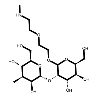 CNCCOCCOC1O[C@@H](CO)[C@@H](O)[C@H](O)[C@@H]1O[C@H]1O[C@H](CO)[C@@H](O)[C@H](C)[C@@H]1O